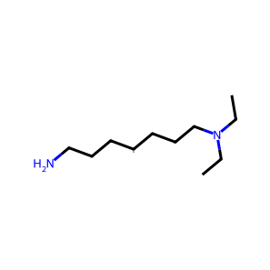 CCN(CC)CCC[CH]CCCN